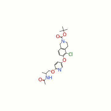 CC(=O)NC(C)COc1ccc(Oc2ccc3c(c2Cl)CCN(C(=O)OC(C)(C)C)C3)cn1